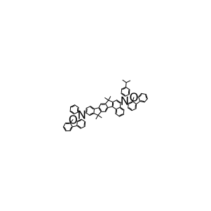 CC(C)c1ccc(N(c2cc3c(c4ccccc24)-c2cc4c(cc2C3(C)C)-c2ccc(N(c3ccccc3)c3cccc5c3oc3ccccc35)cc2C4(C)C)c2cccc3c2oc2ccccc23)cc1